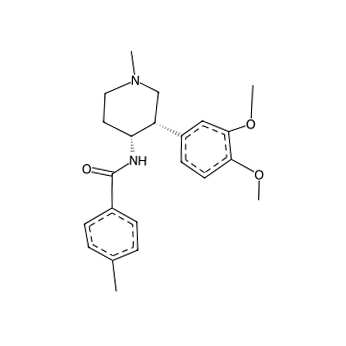 COc1ccc([C@H]2CN(C)CC[C@H]2NC(=O)c2ccc(C)cc2)cc1OC